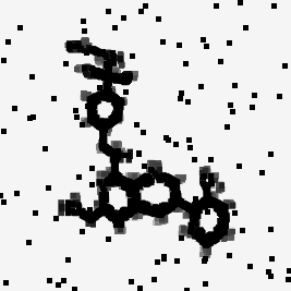 CC(C)(C)NS(=O)(=O)c1ccc(CNc2nc(CO)nc3cc(-c4ncccc4C(F)(F)F)cnc23)cc1